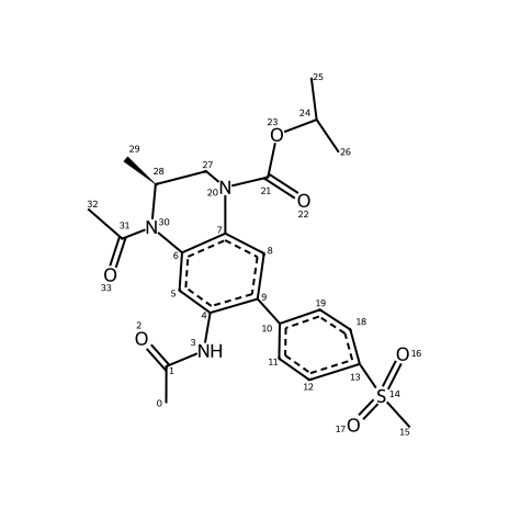 CC(=O)Nc1cc2c(cc1-c1ccc(S(C)(=O)=O)cc1)N(C(=O)OC(C)C)C[C@H](C)N2C(C)=O